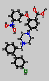 COC(=O)c1ccc(N2CCN(Cc3ccccc3-c3ccc(Cl)cc3)CC2)cc1Oc1cccc([N+](=O)[O-])c1